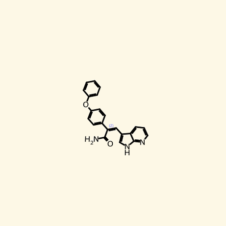 NC(=O)/C(=C\c1c[nH]c2ncccc12)c1ccc(Oc2ccccc2)cc1